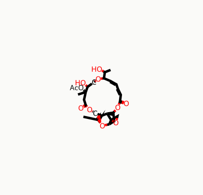 CC(=O)OC1(C)CC(=O)OCC23CCC(C)=CC2OC2CC(OC(=O)C=CC=CC(C(C)O)OCC1O)C3(C)C21CO1